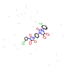 O=C1C(=O)N(c2cccc(Cl)c2)C(=O)N1c1ccc(N2C(=O)C(=O)N(c3cccc(Cl)c3)C2=O)cc1